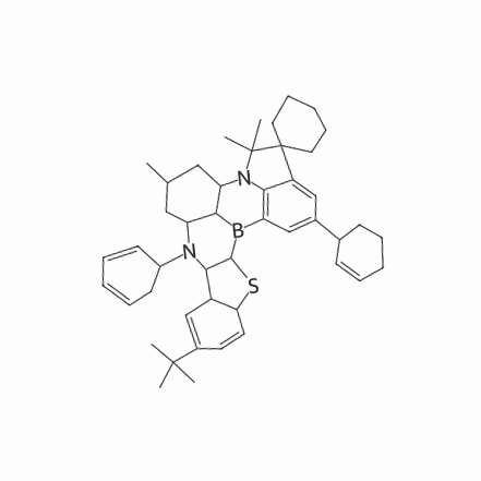 CC1CC2C3B(c4cc(C5C=CCCC5)cc5c4N(C3C1)C(C)(C)C51CCCCC1)C1SC3C=CC(C(C)(C)C)=CC3C1N2C1C=CC=CC1